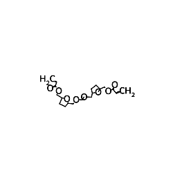 C=CC(=O)OCC1CCC(COCOCC2CCC(COC(=O)C=C)O2)O1